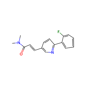 CN(C)C(=O)C=Cc1ccc(-c2ccccc2F)nc1